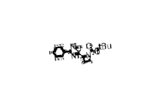 CC(C)(C)OC(=O)N1CC[C@H]1c1nc(-c2ccccc2)no1